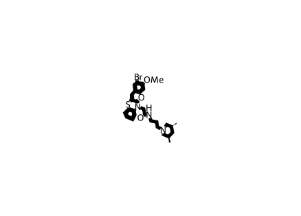 COc1ccc(/C=C2/Sc3ccccc3N(CC(=O)NCCCN3C[C@H](C)C[C@@H](C)C3)C2=O)cc1Br